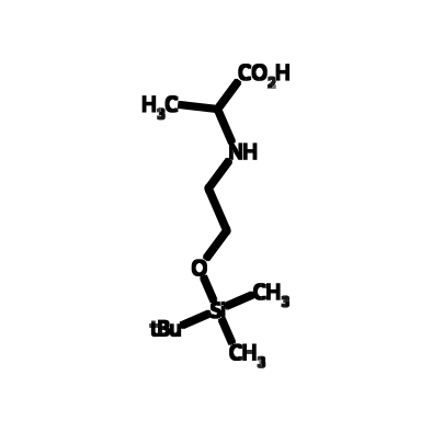 CC(NCCO[Si](C)(C)C(C)(C)C)C(=O)O